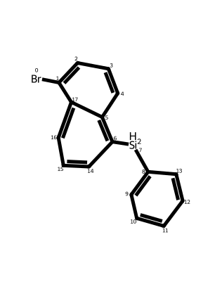 Brc1cccc2c([SiH2]c3ccccc3)cccc12